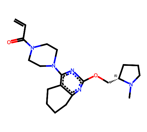 C=CC(=O)N1CCN(c2nc(OC[C@@H]3CCCN3C)nc3c2CCCC3)CC1